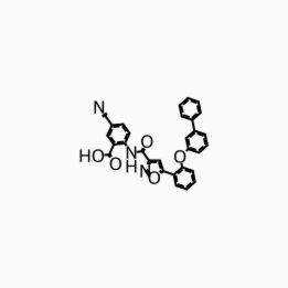 N#Cc1ccc(NC(=O)c2cc(-c3ccccc3Oc3cccc(-c4ccccc4)c3)on2)c(C(=O)O)c1